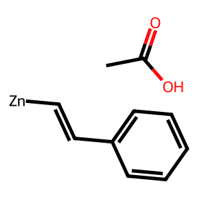 CC(=O)O.[Zn][CH]=Cc1ccccc1